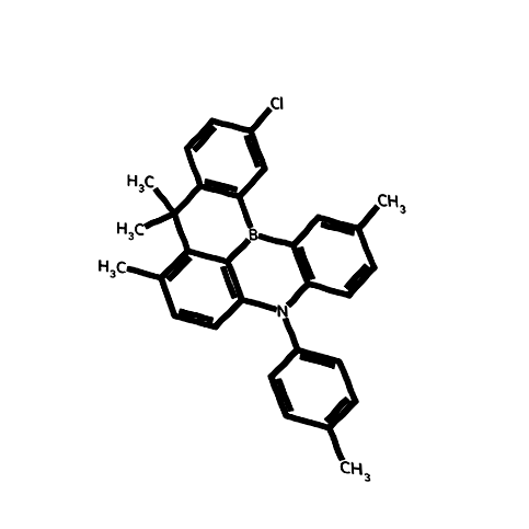 Cc1ccc(N2c3ccc(C)cc3B3c4cc(Cl)ccc4C(C)(C)c4c(C)ccc2c43)cc1